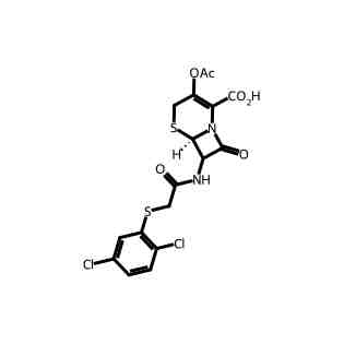 CC(=O)OC1=C(C(=O)O)N2C(=O)C(NC(=O)CSc3cc(Cl)ccc3Cl)[C@H]2SC1